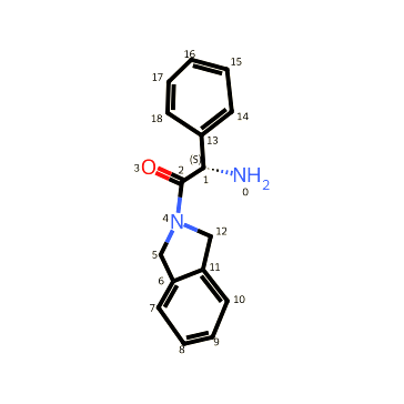 N[C@H](C(=O)N1Cc2ccccc2C1)c1ccccc1